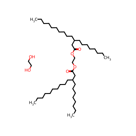 CCCCCCCCCCC(CCCCCCCC)CC(=O)OCCOC(=O)CC(CCCCCCCC)CCCCCCCCCC.OCCO